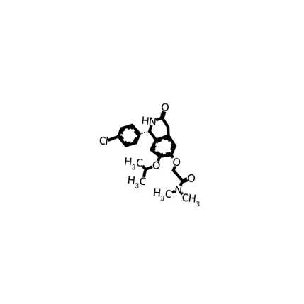 CC(C)Oc1cc2c(cc1OCC(=O)N(C)C)CC(=O)N[C@H]2c1ccc(Cl)cc1